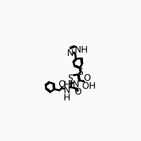 O=C(Cc1ccccc1)N[C@@H]1C(=O)N2C(C(=O)O)=C(Sc3ccc(-c4ncc[nH]4)cc3)CS[C@@H]12